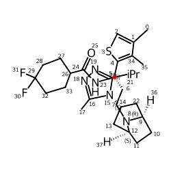 Cc1csc([C@H](CCN2[C@@H]3CC[C@H]2C[C@H](n2c(C)nnc2C(C)C)C3)NC(=O)C2CCC(F)(F)CC2)c1C